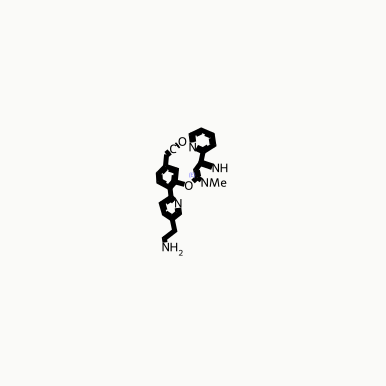 CN/C(=C\C(=N)c1ccccn1)Oc1cc(C=C=O)ccc1-c1ccc(CCN)cn1